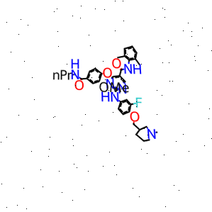 CCCNC(=O)c1ccc(Oc2nc(Nc3ccc(OCC4CCCN(C)C4)c(F)c3)ncc2C(=O)Nc2c(C)cccc2C)c(OC)c1